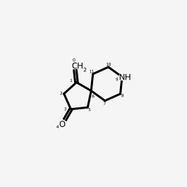 C=C1CC(=O)CC12CCNCC2